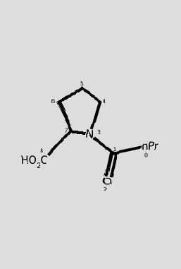 CCCC(=O)N1CCCC1C(=O)O